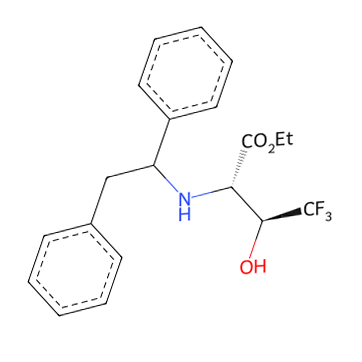 CCOC(=O)[C@@H](NC(Cc1ccccc1)c1ccccc1)[C@H](O)C(F)(F)F